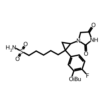 CC(C)COc1cc(C2(CCCCCS(N)(=O)=O)CC2N2CC(=O)NC2=O)ccc1F